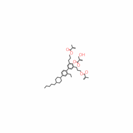 C=C(C)C(=O)OCCCc1cc(-c2ccc(C3CCC(CCCCC)CC3)cc2CC)cc(CCCOC(=O)C(=C)C)c1OC(=O)C(=C)CO